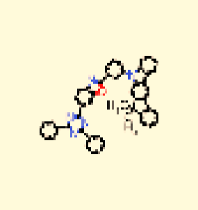 CC1(C)c2ccccc2-c2cc3c4ccccc4n(-c4cccc(-c5nc6ccc(-c7nc(-c8ccccc8)nc(-c8ccccc8)n7)cc6o5)c4)c3cc21